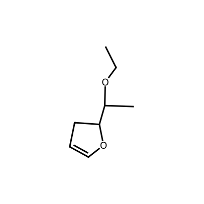 CCOC(C)C1CC=CO1